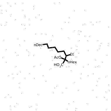 CCCCCCCCCCCCCCCC(CC)C(CCCCCC)(OC(C)=O)C(=O)O